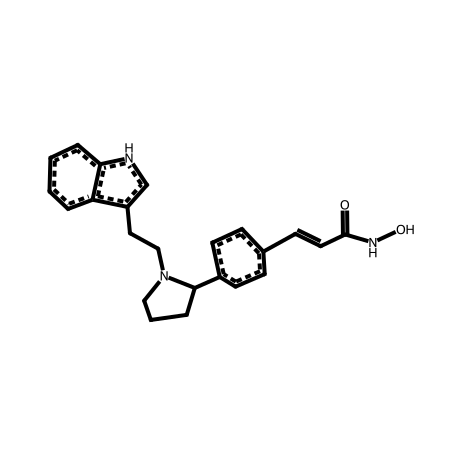 O=C(C=Cc1ccc(C2CCCN2CCc2c[nH]c3ccccc23)cc1)NO